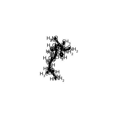 CSCC[C@H](NC(=O)[C@H](Cc1ccc(O)cc1)NC(=O)[C@@H](N)CCC(N)=O)C(=O)N[C@@H](CCCNC(N)=O)C(=O)N[C@@H](C)C(=O)N[C@@H](CC(=O)O)C(=O)N[C@@H](C)C(=O)N[C@@H](C)C(=O)N[C@@H](C)C(=O)NCC(=O)NCC(=O)N[C@@H](CC(C)C)C(=O)N[C@@H](CCCNC(=N)N)C(=O)O